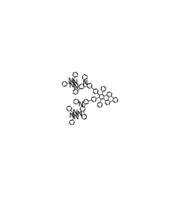 c1ccc(-c2nc(-c3ccccc3)nc(-n3c4ccccc4c4cc5c6cc(-c7ccc(-c8c(-c9ccc(-c%10ccc%11c(c%10)c%10cc%12c%13ccccc%13n(-c%13nc(-c%14ccccc%14)nc(-c%14ccccc%14)n%13)c%12cc%10n%11-c%10ccccc%10)cc9)c(-c9ccccc9)c9c%10cccc%11c%12ccccc%12c%12cccc(c9c8-c8ccccc8)c%12c%11%10)cc7)ccc6n(-c6ccccc6)c5cc43)n2)cc1